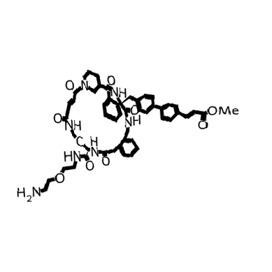 COC(=O)/C=C/c1ccc(-c2ccc(C[C@@H]3NC(=O)[C@]4(Cc5ccccc5)CCCN(C4)C(=O)/C=C/C(=O)NCC[C@@H](C(=O)NCCOCCN)NC(=O)Cc4ccccc4CNC3=O)cc2)cc1